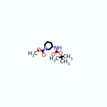 COC(=O)N1CCC[C@H](NC(=O)OC(C)(C)C)C1